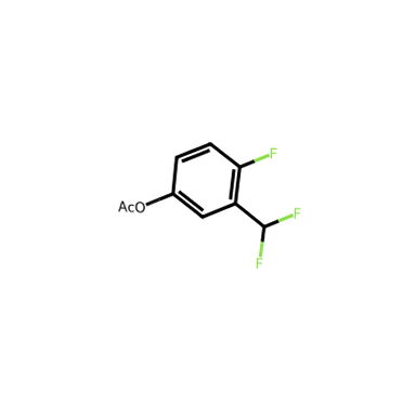 CC(=O)Oc1ccc(F)c(C(F)F)c1